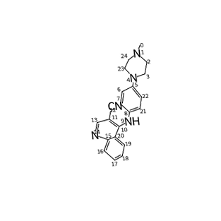 CN1CCN(c2ccc(Nc3c(C#N)cnc4ccccc34)cc2)CC1